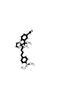 CN(C)c1ccc(C=CC=CC23OCCN2c2ccc(C#N)cc2C3(C)C)cc1